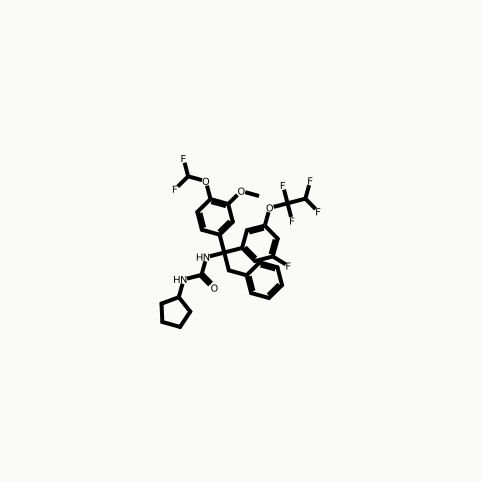 COc1cc(C(Cc2ccccc2)(NC(=O)NC2CCCC2)c2cc(F)cc(OC(F)(F)C(F)F)c2)ccc1OC(F)F